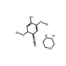 C1COCCN1.CCOC1=CC(=[N+]=[N-])C(OCC)C=[C]1[Zn+].[Cl-]